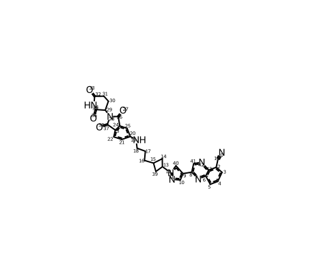 N#Cc1cccc2nc(-c3cnn(C4CC(CCCNc5ccc6c(c5)C(=O)N(C5CCC(=O)NC5=O)C6=O)C4)c3)cnc12